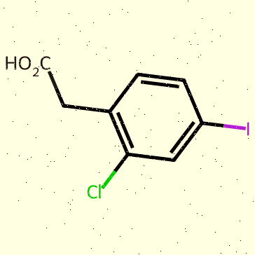 O=C(O)Cc1ccc(I)cc1Cl